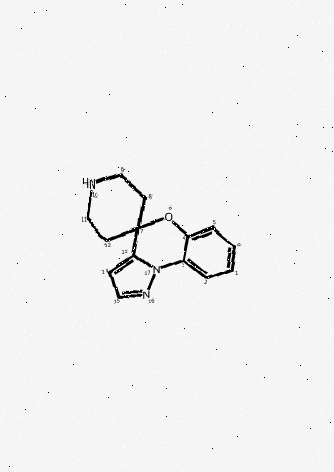 c1ccc2c(c1)OC1(CCNCC1)c1ccnn1-2